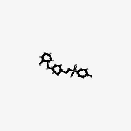 Cc1ccc(S(=O)(=O)/N=C/c2ccc(Cc3ccccc3C)cc2)cc1